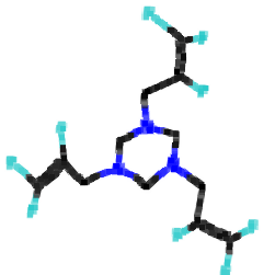 FC(F)=C(F)CN1CN(CC(F)=C(F)F)CN(CC(F)=C(F)F)C1